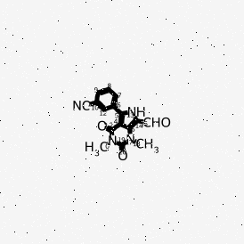 Cn1c(=O)c2c(-c3cccc(C#N)c3)[nH]c(C=O)c2n(C)c1=O